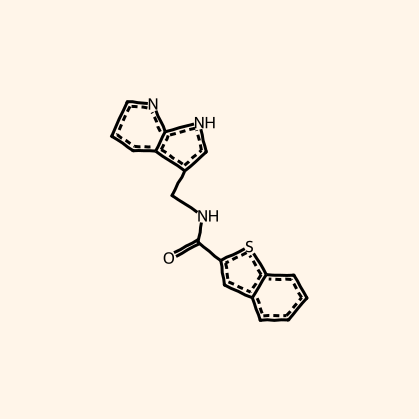 O=C(NCc1c[nH]c2ncccc12)c1cc2ccccc2s1